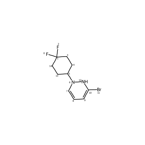 FC1(F)CCC(N2C=CC=C(Br)N2)CC1